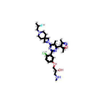 CNC[C@@H](O)COc1ccc(Cl)c(-c2nc(-c3c(C)noc3C)c(C)c(N3CC4(CCN(CC(C)F)CC4)C3)n2)c1